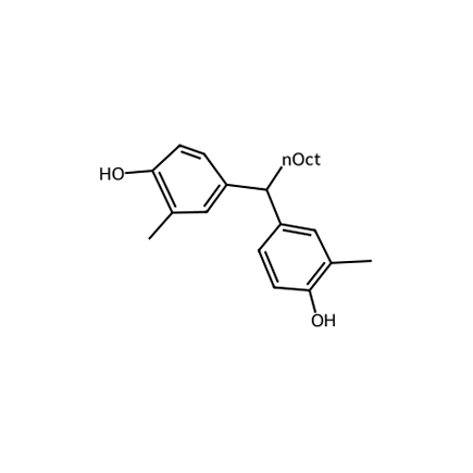 CCCCCCCCC(c1ccc(O)c(C)c1)c1ccc(O)c(C)c1